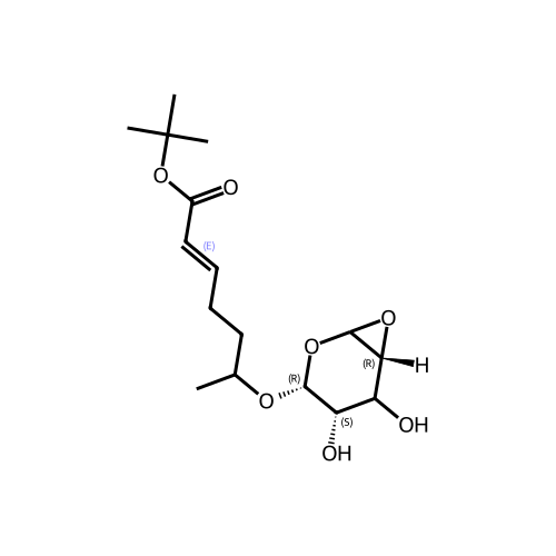 CC(CC/C=C/C(=O)OC(C)(C)C)O[C@@H]1OC2O[C@@H]2C(O)[C@@H]1O